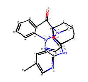 Cc1ccc(NC2CC3CCC2N(C(=O)c2ccccc2-n2nccn2)C3)nc1